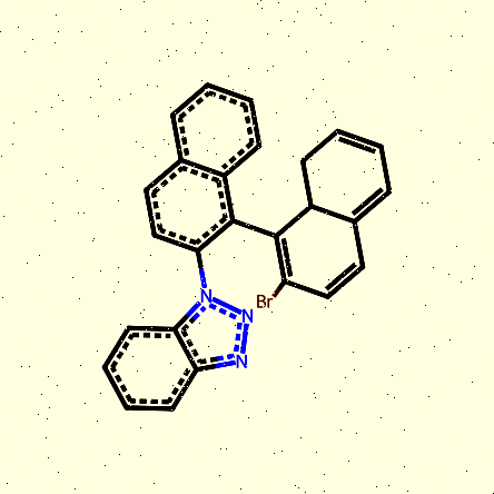 BrC1=C(c2c(-n3nnc4ccccc43)ccc3ccccc23)C2CC=CC=C2C=C1